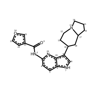 O=C(Nc1ccc2[nH]cc(C3CCN4CCCC4C3)c2n1)c1ccoc1